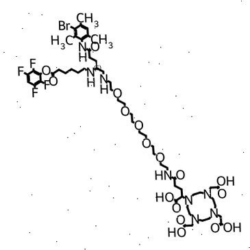 Cc1cc(C)c(NC(=O)CC[C@@H](CNCCOCCOCCOCCOCCOCCNC(=O)CCC(C(=O)O)N2CCN(CC(=O)O)CCN(CC(=O)O)CCN(CC(=O)O)CC2)NCCCCCC(=O)Oc2c(F)c(F)cc(F)c2F)c(C)c1Br